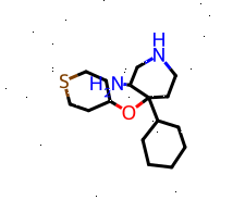 NC1CNCCC1(OC1CCSCC1)C1CCCCC1